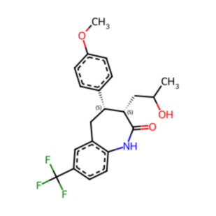 COc1ccc([C@H]2Cc3cc(C(F)(F)F)ccc3NC(=O)[C@H]2CC(C)O)cc1